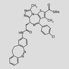 CSC(=O)c1sc2c(c1C)C(c1ccc(Cl)cc1)=N[C@@H](CC(=O)Nc1ccc3c(c1)CCc1ccccc1/N=N\3)c1nnc(C)n1-2